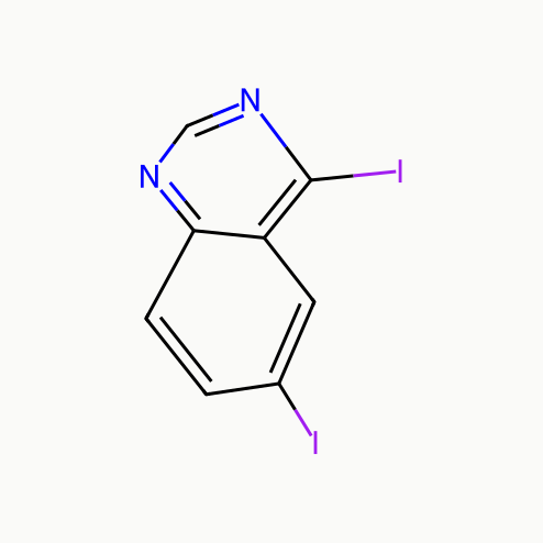 Ic1ccc2ncnc(I)c2c1